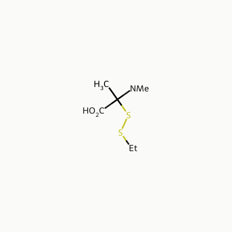 CCSSC(C)(NC)C(=O)O